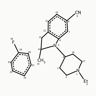 CCN1CCC(N2c3cc(C#N)ccc3CC2C)CC1.Fc1ccccc1